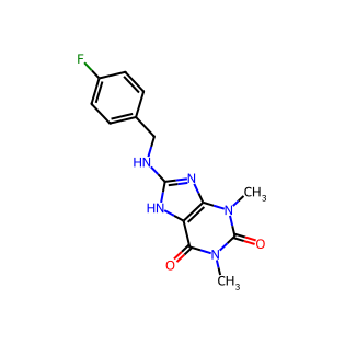 Cn1c(=O)c2[nH]c(NCc3ccc(F)cc3)nc2n(C)c1=O